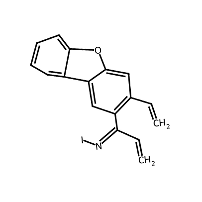 C=C/C(=N/I)c1cc2c(cc1C=C)oc1ccccc12